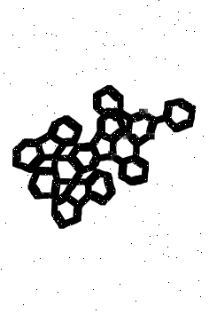 c1ccc(-c2nc(-c3ccccc3)nc(-c3ccccc3-n3c4ccccc4c4cc5c(cc43)C3(c4ccccc4-c4ccccc43)c3ccccc3C53c4ccccc4-c4ccccc43)n2)cc1